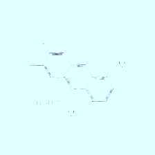 CCCCOc1c2cc(Cl)c(Cl)cc2c(OCCCC)c2c(OC)ccc(OC)c12